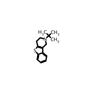 CC(C)(C)N1CCc2sc3ccccc3c2C1